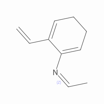 C=CC1=CCCC=C1/N=C\C